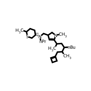 CCCCC(CC(C)C1=CC(CN(CCC)[C@H]2CCC(C)SC2)CN1C)C(C)CC1=CCC1